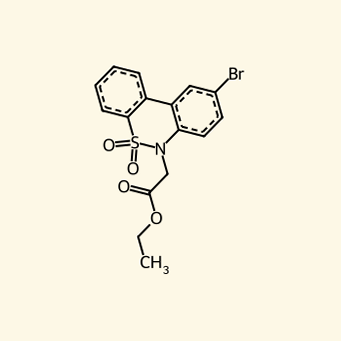 CCOC(=O)CN1c2ccc(Br)cc2-c2ccccc2S1(=O)=O